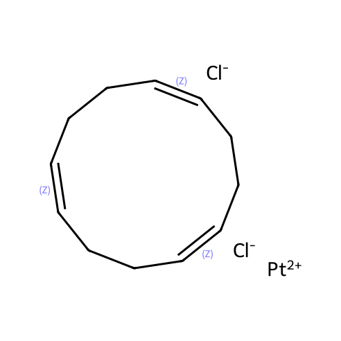 C1=C\CC/C=C\CC/C=C\CC/1.[Cl-].[Cl-].[Pt+2]